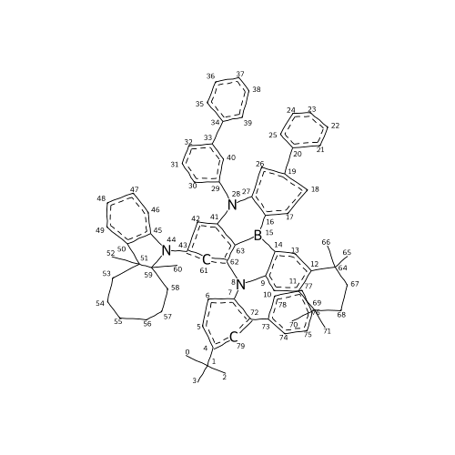 CC(C)(C)c1ccc(N2c3cc4c(cc3B3c5ccc(-c6ccccc6)cc5N(c5cccc(-c6ccccc6)c5)c5cc(N6c7ccccc7C7(C)CCCCCCC67C)cc2c53)C(C)(C)CCC4(C)C)c(-c2ccccc2)c1